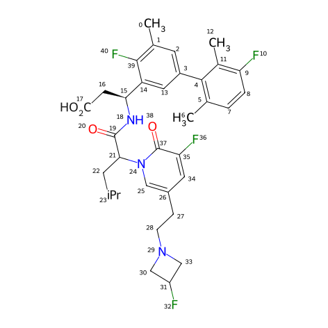 Cc1cc(-c2c(C)ccc(F)c2C)cc([C@H](CC(=O)O)NC(=O)C(CC(C)C)n2cc(CCN3CC(F)C3)cc(F)c2=O)c1F